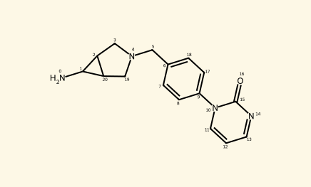 NC1C2CN(Cc3ccc(-n4cccnc4=O)cc3)CC12